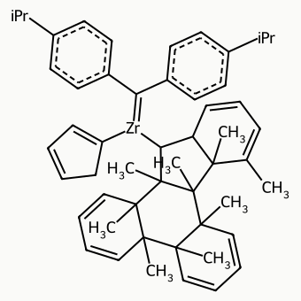 CC1=CC=CC2[CH]([Zr]([C]3=CC=CC3)=[C](c3ccc(C(C)C)cc3)c3ccc(C(C)C)cc3)C3(C)C4(C)C=CC=CC4(C)C4(C)C=CC=CC4(C)C3(C)C12C